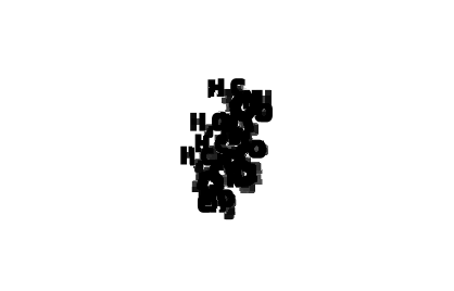 COc1cc(C)[nH]c(=O)c1CNC(=O)c1c(C)n(C(C)c2ccn(C)c(=O)c2)c2ncccc12